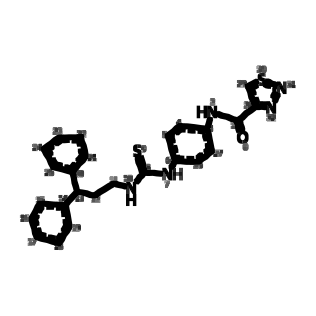 O=C(Nc1ccc(NC(=S)NCCC(c2ccccc2)c2ccccc2)cc1)c1csnn1